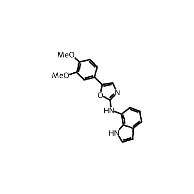 COc1ccc(-c2cnc(Nc3cccc4cc[nH]c34)o2)cc1OC